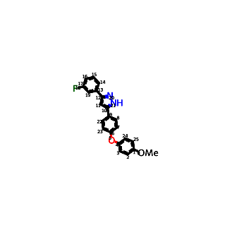 COc1ccc(Oc2ccc(-c3cc(-c4cccc(F)c4)n[nH]3)cc2)cc1